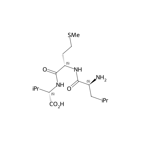 CSCC[C@H](NC(=O)[C@@H](N)CC(C)C)C(=O)N[C@H](C(=O)O)C(C)C